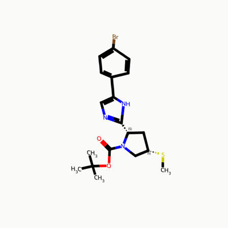 CS[C@H]1C[C@@H](c2ncc(-c3ccc(Br)cc3)[nH]2)N(C(=O)OC(C)(C)C)C1